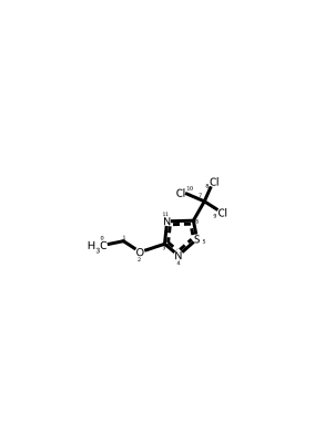 CCOc1nsc(C(Cl)(Cl)Cl)n1